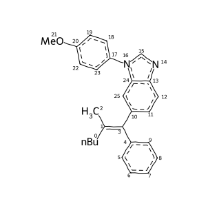 CCCCC(C)=C(c1ccccc1)c1ccc2ncn(-c3ccc(OC)cc3)c2c1